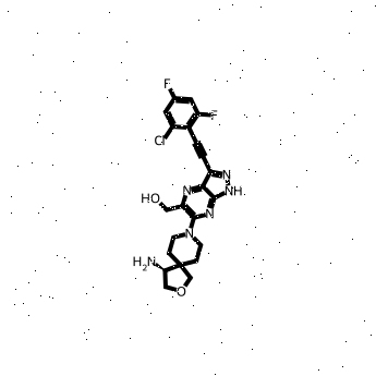 N[C@@H]1COCC12CCN(c1nc3[nH]nc(C#Cc4c(F)cc(F)cc4Cl)c3nc1CO)CC2